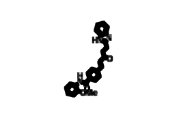 COc1ccccc1NC(=O)c1ccc(C=CC(=O)CCc2nc3ccccc3[nH]2)cc1